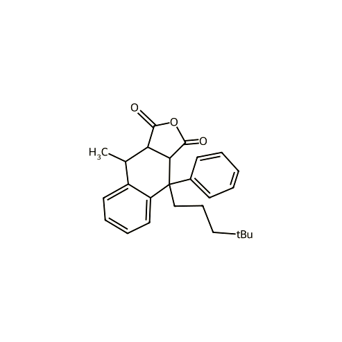 CC1c2ccccc2C(CCCC(C)(C)C)(c2ccccc2)C2C(=O)OC(=O)C12